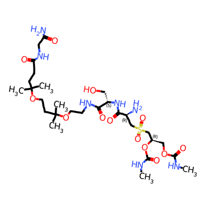 CNC(=O)OC[C@H](CS(=O)(=O)C[C@H](N)C(=O)N[C@@H](CO)C(=O)NCCOC(C)(C)CCOC(C)(C)CCC(=O)NCC(N)=O)OC(=O)NC